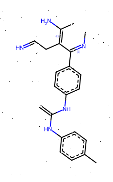 C=C(Nc1ccc(C)cc1)Nc1ccc(C(=N/C)/C(CC=N)=C(\C)N)cc1